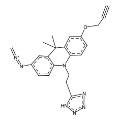 C#CCOc1ccc2c(c1)C(C)(C)c1cc(N=[N+]=C)ccc1N2CCc1nnn[nH]1